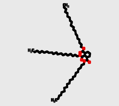 CCCCCCCCCCCCCCCCCCCCOC(=O)C1CCCC(C(=O)OCCCCCCCCCCCCCCCCCCCC)C1C(=O)OCCCCCCCCCCCCCCCCCCCC